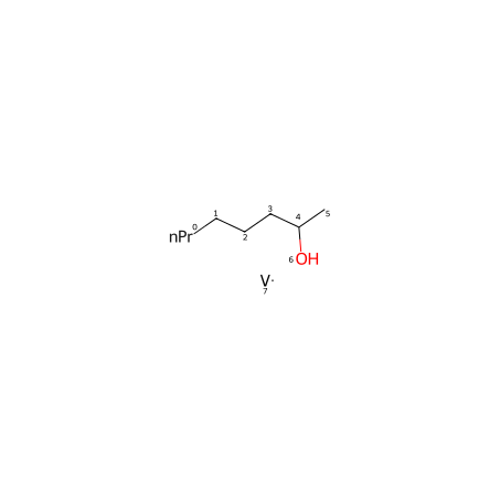 CCCCCCC(C)O.[V]